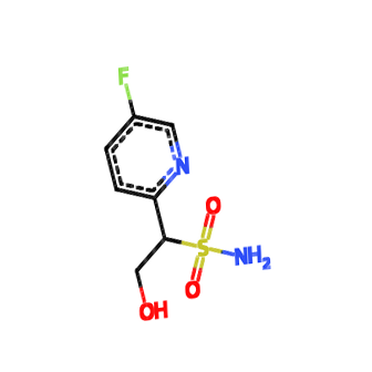 NS(=O)(=O)C(CO)c1ccc(F)cn1